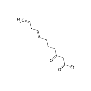 C=CC/C=C/CCCC(=O)CC(=O)CC